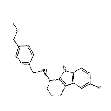 COCc1ccc(CN[C@@H]2CCCc3c2[nH]c2ccc(Br)cc32)cc1